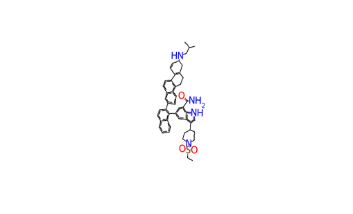 CCS(=O)(=O)N1CCC(c2c[nH]c3c(C(N)=O)cc(-c4c(-c5ccc6c7c(ccc6c5)C5=C(CC7)CC(NCC(C)C)C=C5)ccc5ccccc45)cc23)CC1